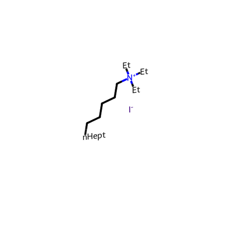 CCCCCCCCCCCC[N+](CC)(CC)CC.[I-]